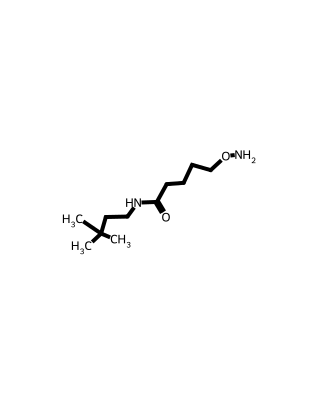 CC(C)(C)CCNC(=O)CCCCON